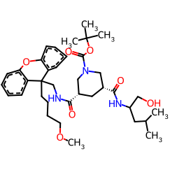 COCCCCC1(CNC(=O)[C@H]2C[C@@H](C(=O)NC(CO)CC(C)C)CN(C(=O)OC(C)(C)C)C2)c2ccccc2Oc2ccccc21